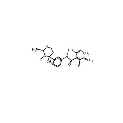 C=C/C(F)=C(C(=O)Nc1cccc(C2(C)CCSC(N)N2I)c1)\C(O)=C/C